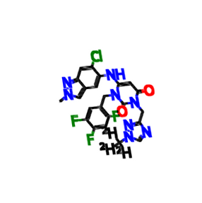 [2H]C([2H])([2H])n1cnc(Cn2c(=O)cc(Nc3cc4cn(C)nc4cc3Cl)n(Cc3cc(F)c(F)cc3F)c2=O)n1